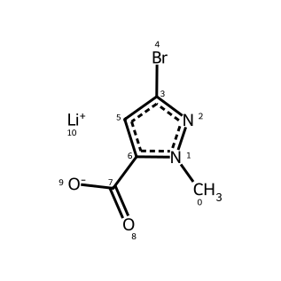 Cn1nc(Br)cc1C(=O)[O-].[Li+]